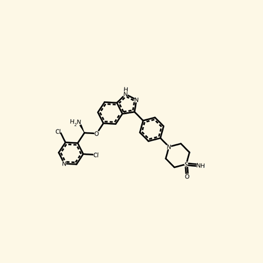 N=S1(=O)CCN(c2ccc(-c3n[nH]c4ccc(O[C@H](N)c5c(Cl)cncc5Cl)cc34)cc2)CC1